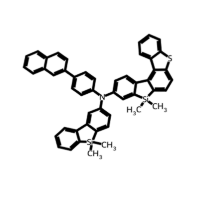 C[Si]1(C)c2ccccc2-c2cc(N(c3ccc(-c4ccc5ccccc5c4)cc3)c3ccc4c(c3)[Si](C)(C)c3ccc5sc6ccccc6c5c3-4)ccc21